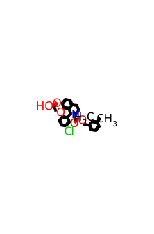 Cc1cccc(COC(=O)N2CCc3ccccc3C2c2cc(Cl)ccc2OCC(=O)O)c1C